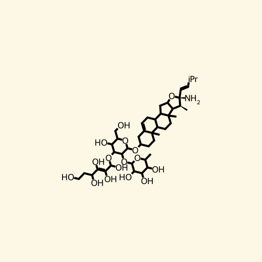 CC(C)/C=C/[C@@]1(N)OC2CC3C4CC=C5CC(OC6OC(CO)C(O)C(OC(O)/C(O)=C(\O)C(O)CCO)C6OC6OC(C)C(O)C(O)C6O)CCC5(C)C4CCC3(C)C2[C@@H]1C